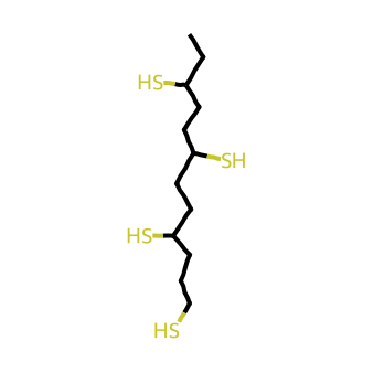 CCC(S)CCC(S)CCC(S)CCCS